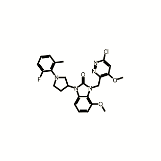 COc1cc(Cl)nnc1Cn1c(=O)n(C2CCN(c3c(C)cccc3F)C2)c2cccc(OC)c21